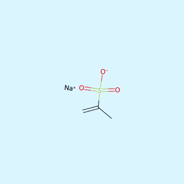 C=C(C)S(=O)(=O)[O-].[Na+]